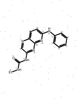 CCNC(=O)Nc1cnc2ccc(Nc3ccccc3)nc2n1